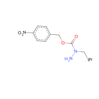 CC(C)CN(N)C(=O)OCc1ccc([N+](=O)[O-])cc1